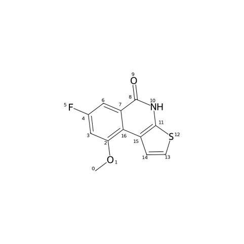 COc1cc(F)cc2c(=O)[nH]c3sccc3c12